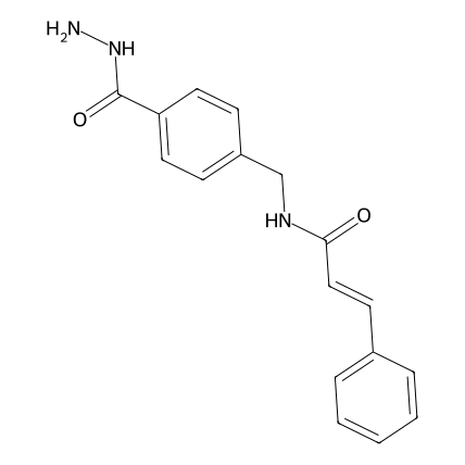 NNC(=O)c1ccc(CNC(=O)/C=C/c2ccccc2)cc1